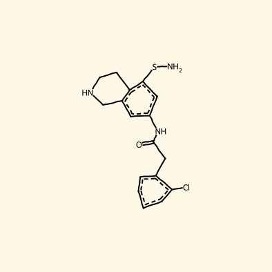 NSc1cc(NC(=O)Cc2ccccc2Cl)cc2c1CCNC2